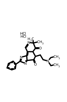 CCN(CC)CCC1C(=O)C2=NC(c3ccccc3)=NC2=C2C=NC(C)(C)C(=O)C21.Cl.Cl